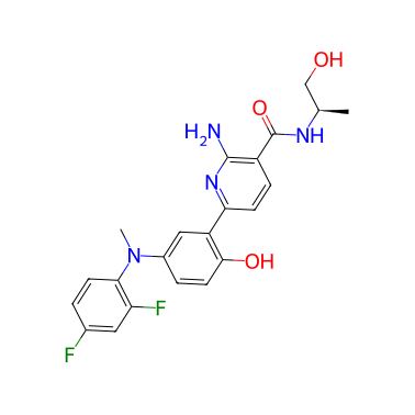 C[C@H](CO)NC(=O)c1ccc(-c2cc(N(C)c3ccc(F)cc3F)ccc2O)nc1N